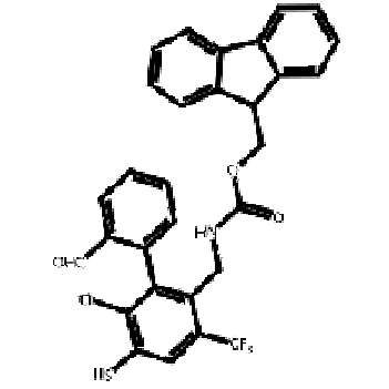 O=Cc1ccccc1-c1c(Cl)c(S)cc(C(F)(F)F)c1CNC(=O)OCC1c2ccccc2-c2ccccc21